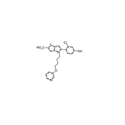 O=C(O)c1cc2c(cc(-c3ccc(O)cc3Cl)n2CCCCOc2cccnc2)s1